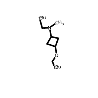 CN(CC(C)(C)C)C1CC(OCC(C)(C)C)C1